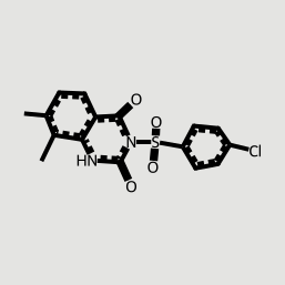 Cc1ccc2c(=O)n(S(=O)(=O)c3ccc(Cl)cc3)c(=O)[nH]c2c1C